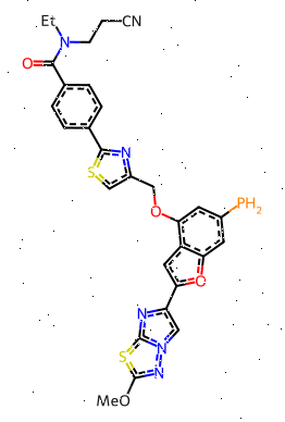 CCN(CCC#N)C(=O)c1ccc(-c2nc(COc3cc(P)cc4oc(-c5cn6nc(OC)sc6n5)cc34)cs2)cc1